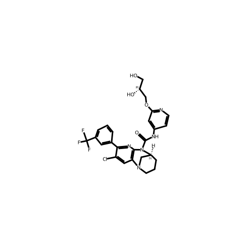 O=C(Nc1ccnc(OC[C@H](O)CO)c1)N1c2nc(-c3cccc(C(F)(F)F)c3)c(Cl)cc2N2CCC[C@H]1C2